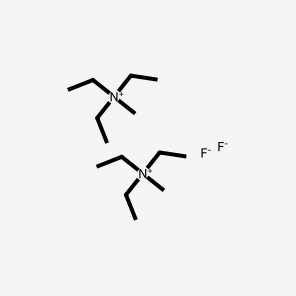 CC[N+](C)(CC)CC.CC[N+](C)(CC)CC.[F-].[F-]